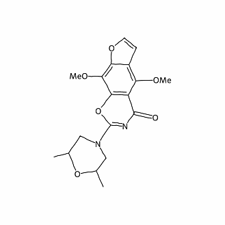 COc1c2occc2c(OC)c2c(=O)nc(N3CC(C)OC(C)C3)oc12